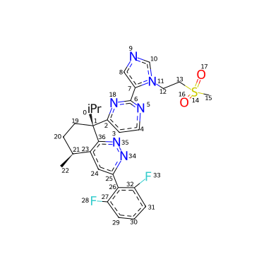 CC(C)[C@]1(c2ccnc(-c3cncn3CCS(C)(=O)=O)n2)CC[C@H](C)c2cc(-c3c(F)cccc3F)nnc21